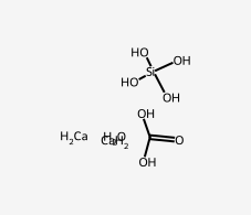 O.O=C(O)O.O[Si](O)(O)O.[CaH2].[CaH2]